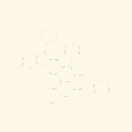 c1ccc(-n2c3ccccc3c3cc4c5c(c6ccccc6n5-c5cc6c(oc7ccccc76)c6c5B4c4ccccc4S6)c32)cc1